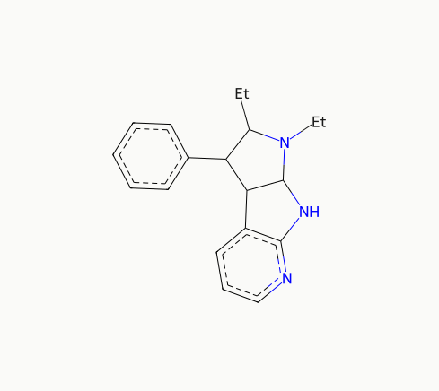 CCC1C(c2ccccc2)C2c3cccnc3NC2N1CC